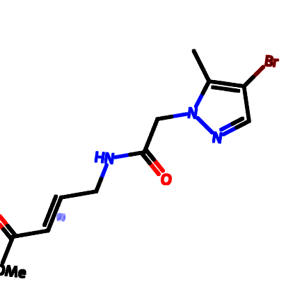 COC(=O)/C=C/CNC(=O)Cn1ncc(Br)c1C